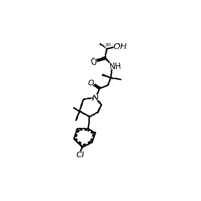 C[C@@H](O)C(=O)NC(C)(C)CC(=O)N1CCC(c2ccc(Cl)cc2)C(C)(C)C1